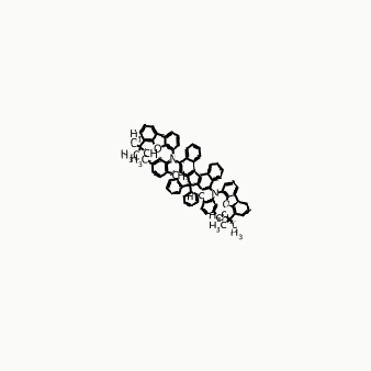 Cc1ccc(C)c(N(c2cc3c(c4ccccc24)-c2c(cc(N(c4cc(C)ccc4C)c4cccc5c4oc4c(C(C)(C)C)cccc45)c4ccccc24)C3(c2ccccc2)c2ccccc2)c2cccc3c2oc2c(C(C)(C)C)cccc23)c1